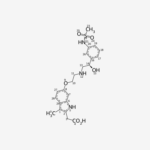 Cc1c(CC(=O)O)[nH]c2cc(OCCNC[C@H](O)c3cccc(NS(C)(=O)=O)c3)ccc12